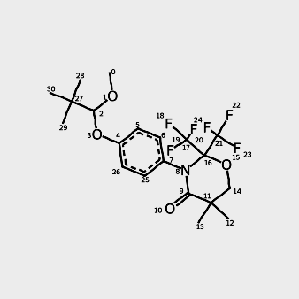 COC(Oc1ccc(N2C(=O)C(C)(C)COC2(C(F)(F)F)C(F)(F)F)cc1)C(C)(C)C